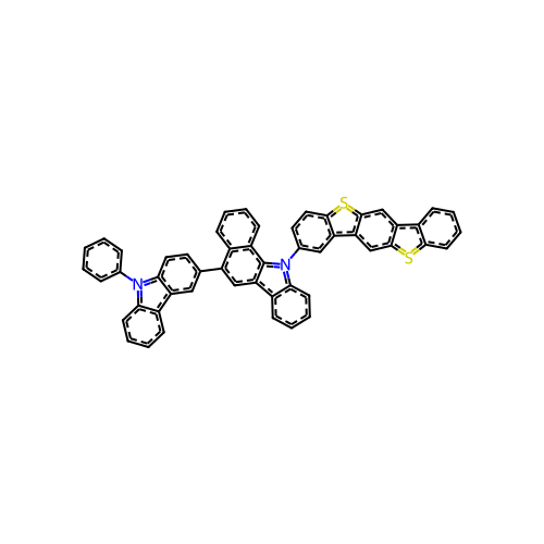 c1ccc(-n2c3ccccc3c3cc(-c4cc5c6ccccc6n(-c6ccc7sc8cc9c(cc8c7c6)sc6ccccc69)c5c5ccccc45)ccc32)cc1